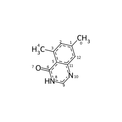 Cc1cc(C)c2c(=O)[nH]cnc2c1